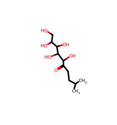 CC(C)CCC(=O)C(O)C(O)C(O)C(O)CO